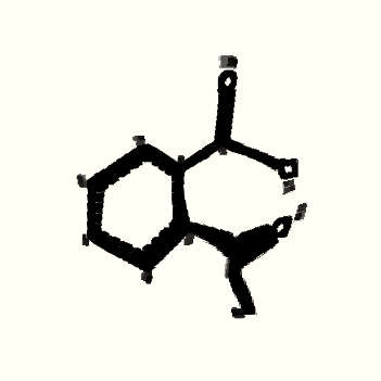 CC(=O)c1ccccc1C(=O)Cl